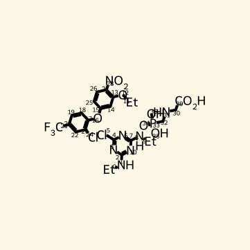 CCNc1nc(Cl)nc(NCC)n1.CCOc1cc(Oc2ccc(C(F)(F)F)cc2Cl)ccc1[N+](=O)[O-].O=C(O)CNCP(=O)(O)O